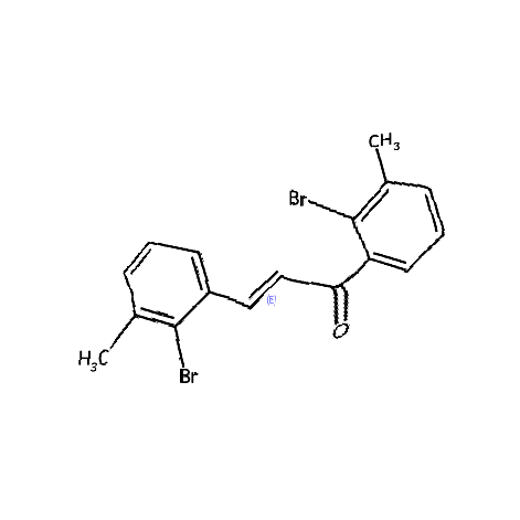 Cc1cccc(/C=C/C(=O)c2cccc(C)c2Br)c1Br